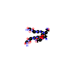 Cc1ccc(-c2c(C)noc2C)cc1N(CC1CCN(C2CCN(c3ccc4c(c3)C(=O)N(C3CCC(=O)NC3=O)C4=O)CC2)CC1)c1ccc(C2(C#N)CC2Cc2ccc(-c3c(C)noc3C)cc2N(CC2CN(C3CCN(c4ccc5c(c4)C(=O)N(C4CCC(=O)NC4=O)C5)CC3)C2)c2ccc(C3(C#N)CC3)cc2)cc1